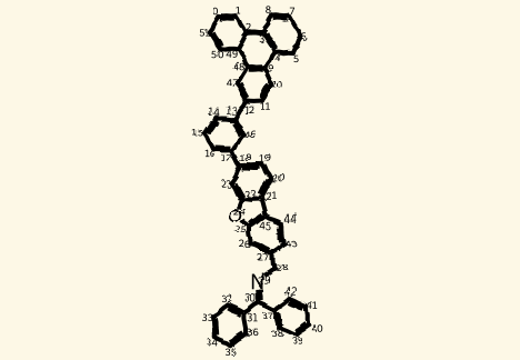 C1=CC2C3=C(CCC=C3)c3ccc(-c4cccc(-c5ccc6c(c5)oc5cc(CN=C(c7ccccc7)c7ccccc7)ccc56)c4)cc3C2C=C1